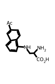 CC(=O)c1ccc2c(NCC(N)C(=O)O)cccc2c1